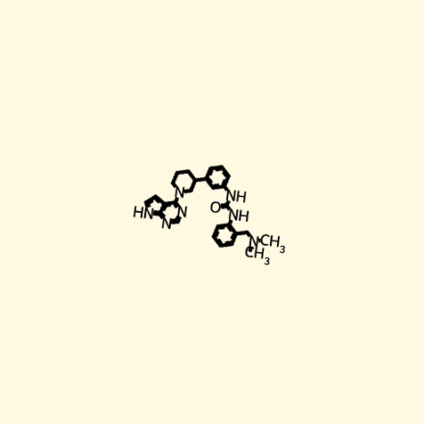 CN(C)Cc1ccccc1NC(=O)Nc1cccc(C2CCCN(c3ncnc4[nH]ccc34)C2)c1